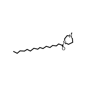 CCCCCCCCCCCCCCCC(=O)N1CCCN(C)CC1